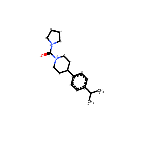 CC(C)c1ccc(C2CCN(C(=O)N3CCCC3)CC2)cc1